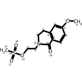 COc1ccc2c(c1)CCN(CCOS(C)(=O)=O)C2=O